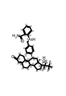 C[C@]12C[C@H](c3ccc(C[AsH]c4ccccc4C(N)=O)cc3)C3=C4CCC(=O)C=C4CCC3C1CC[C@]2(O)C(F)(F)C(F)(F)F